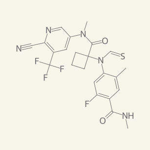 CNC(=O)c1cc(C)c(N(C=S)C2(C(=O)N(C)c3cnc(C#N)c(C(F)(F)F)c3)CCC2)cc1F